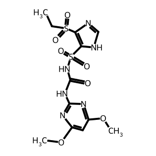 CCS(=O)(=O)c1nc[nH]c1S(=O)(=O)NC(=O)Nc1nc(OC)cc(OC)n1